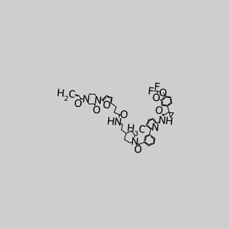 C=CC(=O)N1CCN(c2ccc(CCC(=O)NCCC3CCN(C(=O)c4cccc(-c5nc(NC(=O)C6(c7ccc8c(c7)OC(F)(F)O8)CC6)ccc5C)c4)CC3)o2)C(=O)C1